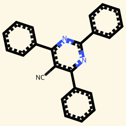 N#Cc1c(-c2ccccc2)nc(-c2ccccc2)nc1-c1ccccc1